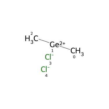 [CH3][Ge+2][CH3].[Cl-].[Cl-]